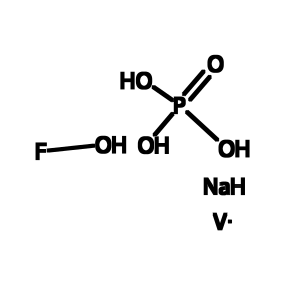 O=P(O)(O)O.OF.[NaH].[V]